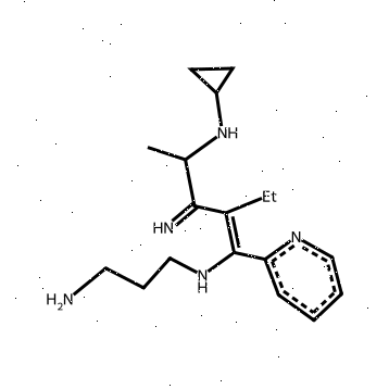 CC/C(C(=N)C(C)NC1CC1)=C(/NCCCN)c1ccccn1